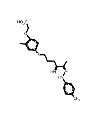 C/C(=N/Nc1ccc(C(F)(F)F)cc1)C(=N)CCCSc1ccc(OCC(=O)O)c(C)c1